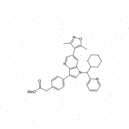 COC(=O)Cc1ccc(-c2cn(C(c3ccccn3)C3CCCCC3)c3cc(-c4c(C)noc4C)cnc23)cc1